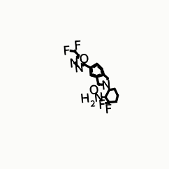 N[C@H]1[C@H](N2Cc3ccc(-c4nnc(C(F)F)o4)cc3C2=O)CCCC1(F)F